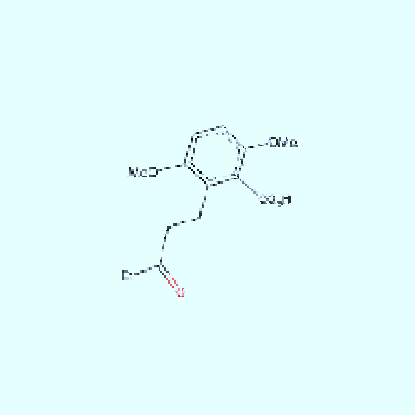 CCC(=O)CCc1c(OC)ccc(OC)c1C(=O)O